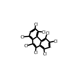 Clc1[c]c(Cl)c2c(Cl)c(Cl)c3c(Cl)[c]c(Cl)c(Cl)c3c2c1Cl